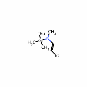 CCC=CN(C)[Si](C)(C)C(C)(C)C